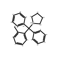 Cc1ccccc1C(c1ccccc1)(c1ccccc1)N1CCCC1